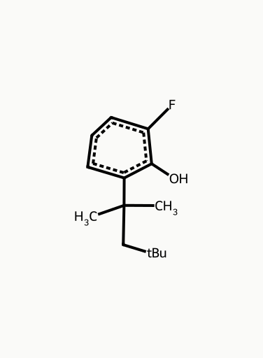 CC(C)(C)CC(C)(C)c1cccc(F)c1O